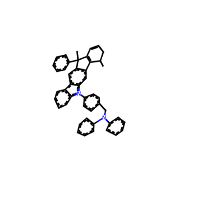 CC1CC=CC2=C1c1cc3c(cc1C2(C)c1ccccc1)c1ccccc1n3-c1ccc(CN(c2ccccc2)c2ccccc2)cc1